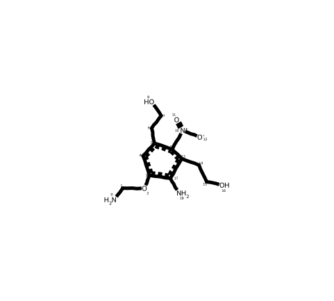 NCOc1cc(CCO)c([N+](=O)[O-])c(CCO)c1N